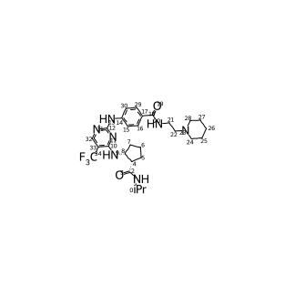 CC(C)NC(=O)[C@H]1CCC[C@H]1Nc1nc(Nc2ccc(C(=O)NCCN3CCCCC3)cc2)ncc1C(F)(F)F